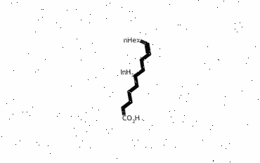 CCCCCC/C=C\CCCCCCCC(=O)O.[InH3]